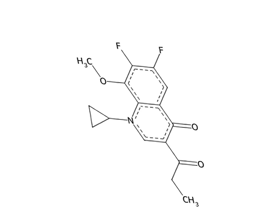 CCC(=O)c1cn(C2CC2)c2c(OC)c(F)c(F)cc2c1=O